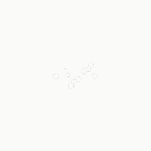 C1=CC2Sc3ccccc3C2c2oc(-n3c4ccccc4c4ccc(-c5ccc6c7ccccc7n(-c7ccccc7)c6c5)cc43)nc21